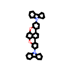 c1ccc2c(c1)c1ccccc1n2-c1ccc2c(c1)Oc1ccc3c4c(ccc-2c14)-c1ccc(-n2c4ccccc4c4ccccc42)cc1O3